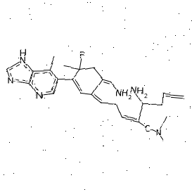 C=CCC(N)/C(=C\C/C=C1/C=C(c2cnc3nc[nH]c3c2C)C(C)(F)C/C1=C/N)CN(C)C